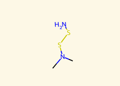 CN(C)SSN